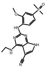 CCNc1nc(Nc2ccc(P(C)(C)=O)cc2OC)nc2[nH]cc(C#N)c12